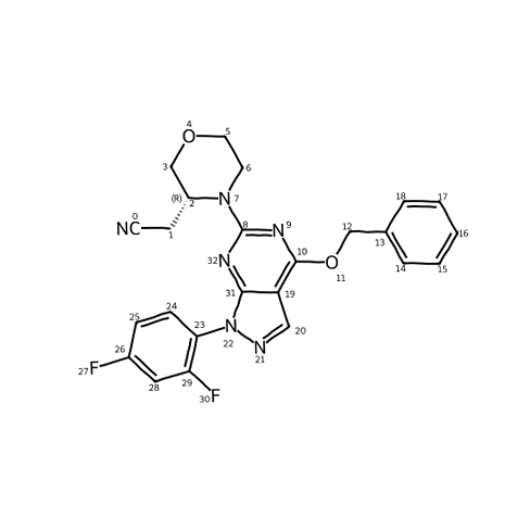 N#CC[C@@H]1COCCN1c1nc(OCc2ccccc2)c2cnn(-c3ccc(F)cc3F)c2n1